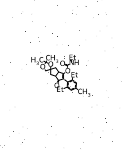 CCNC(=O)OC1=C(c2c(CC)cc(C)cc2CC)C(=O)C2CC3(COC(C)(C)O3)CC12